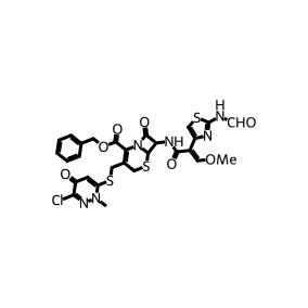 COC=C(C(=O)NC1C(=O)N2C(C(=O)OCc3ccccc3)=C(CSc3cc(=O)c(Cl)nn3C)CSC12)c1csc(NC=O)n1